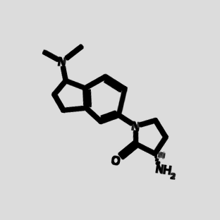 CN(C)C1CCc2cc(N3CC[C@H](N)C3=O)ccc21